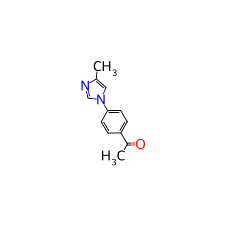 CC(=O)c1ccc(-n2cnc(C)c2)cc1